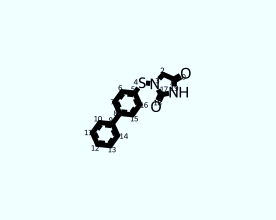 O=C1CN(Sc2ccc(-c3ccccc3)cc2)C(=O)N1